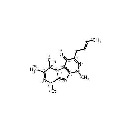 C/C=C/Cc1nn(C)c2nc3n(c2c1=O)C(C)C(C)=NN3CC